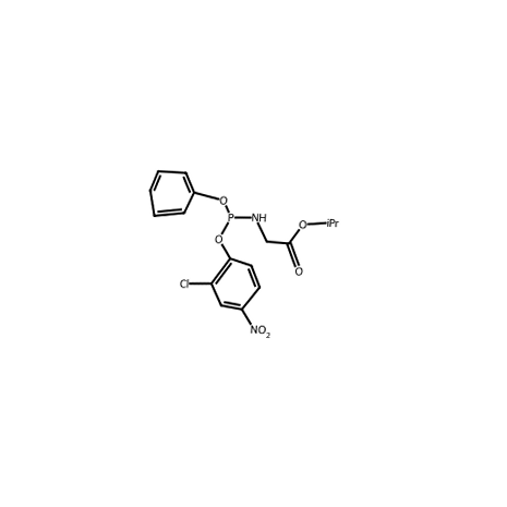 CC(C)OC(=O)CNP(Oc1ccccc1)Oc1ccc([N+](=O)[O-])cc1Cl